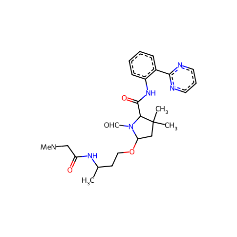 CNCC(=O)NC(C)CCOC1CC(C)(C)C(C(=O)Nc2ccccc2-c2ncccn2)N1C=O